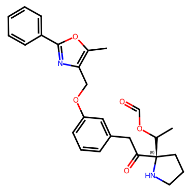 Cc1oc(-c2ccccc2)nc1COc1cccc(CC(=O)[C@]2(C(C)OC=O)CCCN2)c1